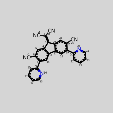 N#CC(C#N)=C1c2cc(C#N)c(-c3ccccn3)cc2-c2cc(-c3ccccn3)c(C#N)cc21